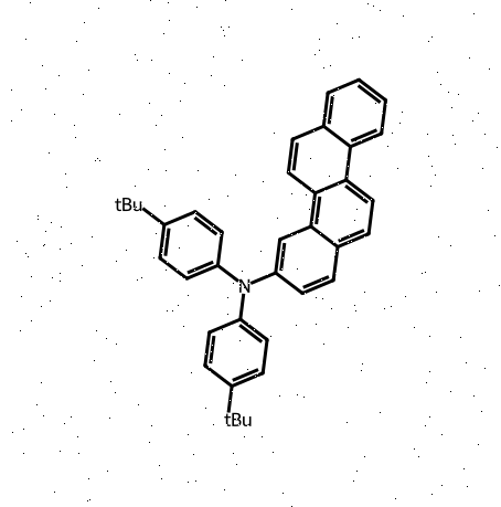 CC(C)(C)c1ccc(N(c2ccc(C(C)(C)C)cc2)c2ccc3ccc4c5ccccc5ccc4c3c2)cc1